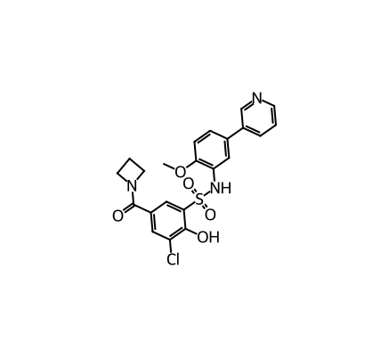 COc1ccc(-c2cccnc2)cc1NS(=O)(=O)c1cc(C(=O)N2CCC2)cc(Cl)c1O